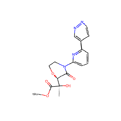 CC(C)(C)OC(=O)[C@](C)(O)[C@H]1OCCN(c2cccc(-c3ccnnc3)n2)C1=O